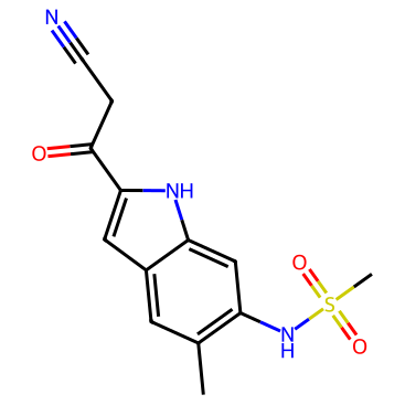 Cc1cc2cc(C(=O)CC#N)[nH]c2cc1NS(C)(=O)=O